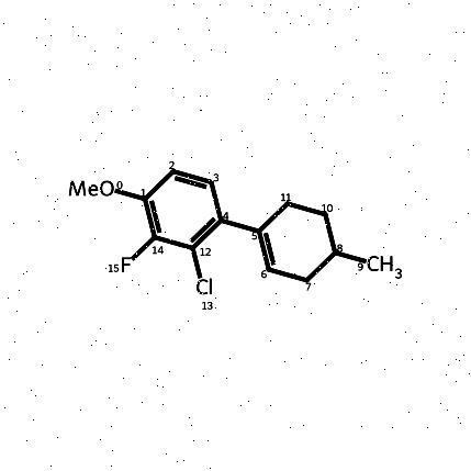 COc1ccc(C2=CCC(C)CC2)c(Cl)c1F